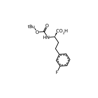 CC(C)(C)OC(=O)N[C@H](CCc1cccc(F)c1)C(=O)O